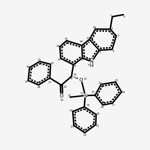 CCc1ccc2[nH]c3c([C@H](O[Si](C)(c4ccccc4)c4ccccc4)C(=O)c4ccccc4)cccc3c2c1